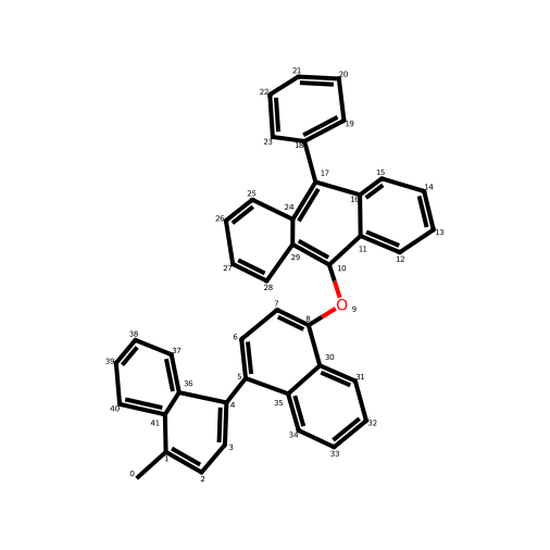 Cc1ccc(-c2ccc(Oc3c4ccccc4c(-c4ccccc4)c4ccccc34)c3ccccc23)c2ccccc12